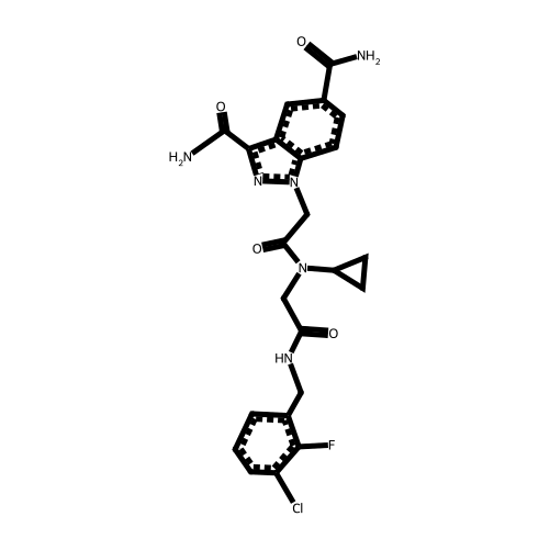 NC(=O)c1ccc2c(c1)c(C(N)=O)nn2CC(=O)N(CC(=O)NCc1cccc(Cl)c1F)C1CC1